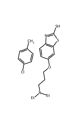 CCN(CC)CCCOc1ccc2nc(S)sc2c1.Cc1ccc(Cl)cc1